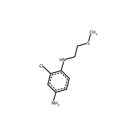 CSCCNc1ccc(N)cc1Cl